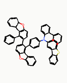 C1=CC2Oc3ccc(-c4ccc5oc6ccccc6c5c4-c4ccc(N(c5ccc6sc7ccccc7c6c5)c5ccccc5-c5ccccc5)cc4)c(-c4ccccc4)c3C2C=C1